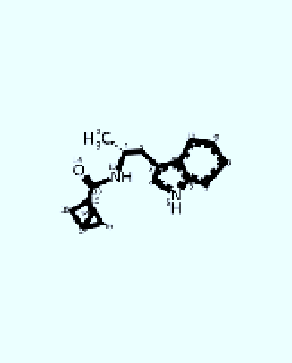 C[C@H](Cc1c[nH]c2ccccc12)NC(=O)C12CC(C1)C2